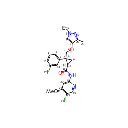 CCn1cc(OC[C@@]2(c3cccc(F)c3)C[C@H]2C(=O)Nc2cc(OC)c(F)cn2)c(C)n1